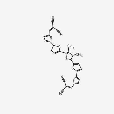 CC1=C(C2=CCC(c3ccc(C=C(C#N)C#N)s3)S2)SC(c2ccc(-c3ccc(C=C(C#N)C#N)s3)s2)C1C